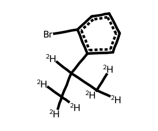 [2H]C([2H])([2H])C([2H])(c1ccccc1Br)C([2H])([2H])[2H]